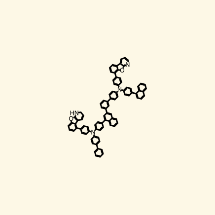 C1=Cc2c(oc3cccc(-c4ccc(N(c5ccc(-c6ccccc6)cc5)c5ccc(-c6cc(-c7cccc(-c8ccc(N(c9ccc(-c%10cccc%11ccccc%10%11)cc9)c9ccc(-c%10cccc%11c%10oc%10ncccc%10%11)cc9)cc8)c7)cc7ccccc67)cc5)cc4)c23)NC1